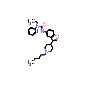 CCCCCN1CCC(c2coc3ccc(NC(=O)N(CC)c4ccccc4)cc23)CC1